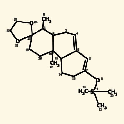 CC1C2CC=C3C=C(O[Si](C)(C)C)CCC3C2(C)CCC12OCCO2